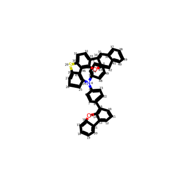 c1ccc(N(c2ccc(-c3cccc4c3oc3ccccc34)cc2)c2cccc3sc4ccc5c6cc7ccccc7cc6oc5c4c23)cc1